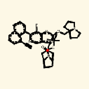 C#Cc1cccc2cccc(-c3ncc4c(N5CC6CCC(C5)N6C(=O)OC(C)(C)C)nc(OCC56CCCN5CCC6)nc4c3F)c12